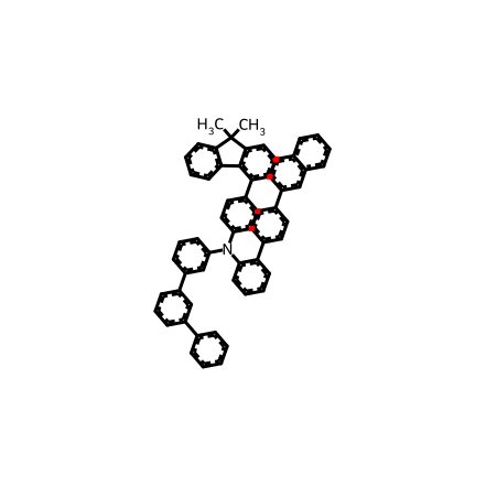 CC1(C)c2ccccc2-c2c(-c3ccc(N(c4cccc(-c5cccc(-c6ccccc6)c5)c4)c4ccccc4-c4ccc(-c5ccc6ccccc6c5)cc4)cc3)cccc21